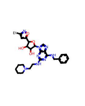 CCc1cc(C2OC(n3cnc4c(NCc5ccccc5)nc(NCCN5CCCCC5)nc43)C(O)C2O)on1